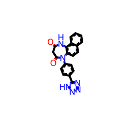 O=C1CC(=O)N(c2ccc(-c3nnn[nH]3)cc2)c2ccc3ccccc3c2N1